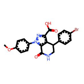 COc1ccc(-n2nc(C(=O)O)c3c2C(=O)NCC3c2ccc(Br)cc2)cc1